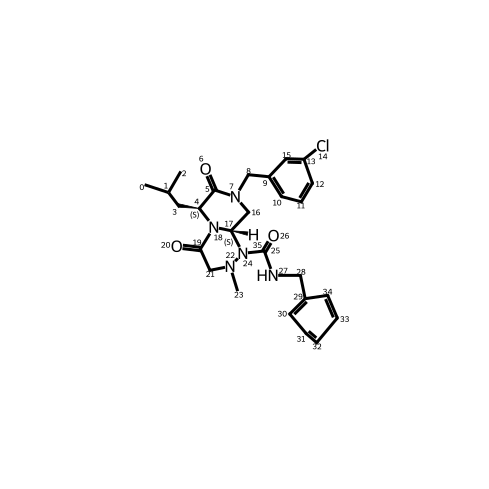 CC(C)C[C@H]1C(=O)N(Cc2cccc(Cl)c2)C[C@H]2N1C(=O)CN(C)N2C(=O)NCc1ccccc1